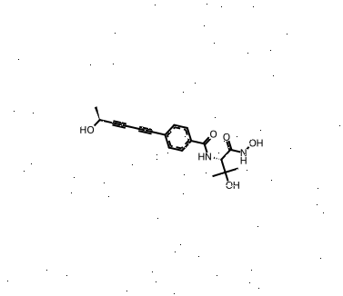 C[C@H](O)C#CC#Cc1ccc(C(=O)N[C@H](C(=O)NO)C(C)(C)O)cc1